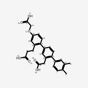 Cc1ccc(-c2ccc(-c3ccc(OCC(=O)O)cc3CCC(=O)O)cc2CC(=O)O)cc1C